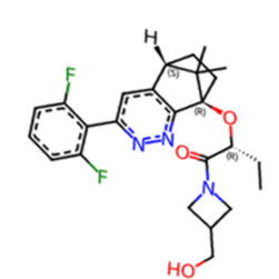 CC[C@@H](O[C@@]12CC[C@@H](c3cc(-c4c(F)cccc4F)nnc31)C2(C)C)C(=O)N1CC(CO)C1